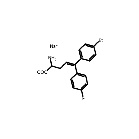 CCc1ccc(C(=CCC(N)C(=O)[O-])c2ccc(F)cc2)cc1.[Na+]